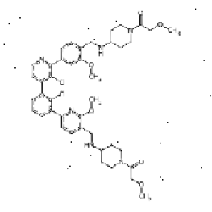 COCC(=O)N1CCC(NCc2ccc(-c3nccc(-c4cccc(-c5ccc(CNC6CCN(C(=O)COC)CC6)c(OC)n5)c4Cl)c3Cl)cc2OC)CC1